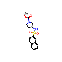 CC(C)(C)OC(=O)N1CCC(NS(=O)(=O)c2ccc3ccccc3c2)C1